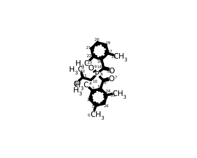 Cc1cc(C)c(C(=O)P(=O)(CC(C)C)C(=O)c2c(C)cccc2C)c(C)c1